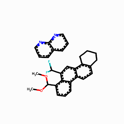 COC(OC)c1cccc2c1c(C(F)F)cc1c3c(ccc12)CCCC3.c1cnc2ncccc2c1